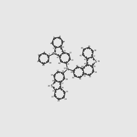 c1ccc(-n2c3ccccc3c3ccc(N(c4ccc5sc6ccccc6c5c4)c4ccc5ccc6sc7ccccc7c6c5c4)cc32)cc1